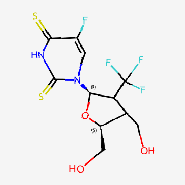 OCC1C(C(F)(F)F)[C@H](n2cc(F)c(=S)[nH]c2=S)O[C@@H]1CO